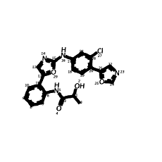 CC(O)C(=O)Nc1ccccc1-c1cnc(Nc2ccc(-c3cnco3)c(Cl)c2)o1